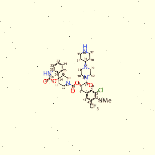 CNc1c(Cl)cc(C[C@@H](OC(=O)N2CCC3(CC2)OC(=O)Nc2ccccc23)C(=O)N2CCN(C3CCNCC3)CC2)cc1C(F)(F)F